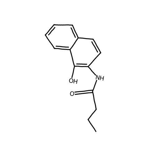 CCCC(=O)Nc1ccc2ccccc2c1O